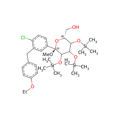 CCOc1ccc(Cc2cc([C@]3(OC)O[C@H](CO)C(O[Si](C)(C)C)C(O[Si](C)(C)C)C3O[Si](C)(C)C)ccc2Cl)cc1